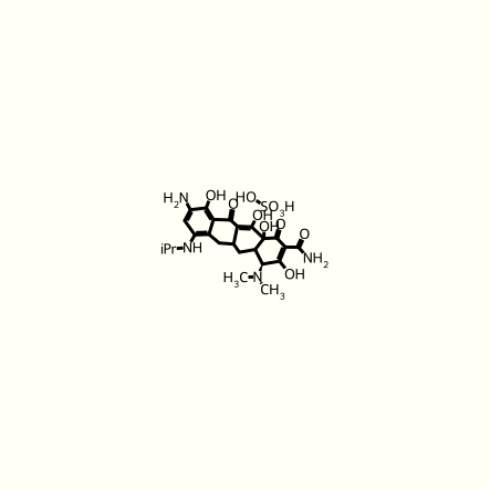 CC(C)Nc1cc(N)c(O)c2c1CC1CC3[C@H](N(C)C)C(O)=C(C(N)=O)C(=O)C3(O)C(O)=C1C2=O.O=S(=O)(O)O